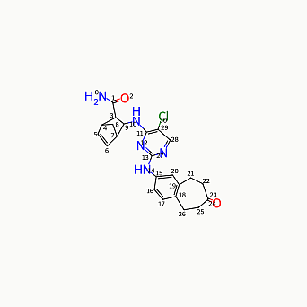 NC(=O)C1C2C=CC(C2)C1Nc1nc(Nc2ccc3c(c2)CCC(=O)CC3)ncc1Cl